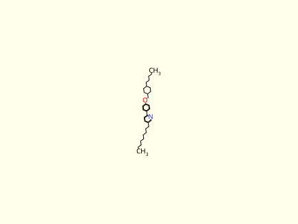 CCCCCCCCCc1ccc(-c2ccc(OCC3CCC(CCCCC)CC3)cc2)nc1